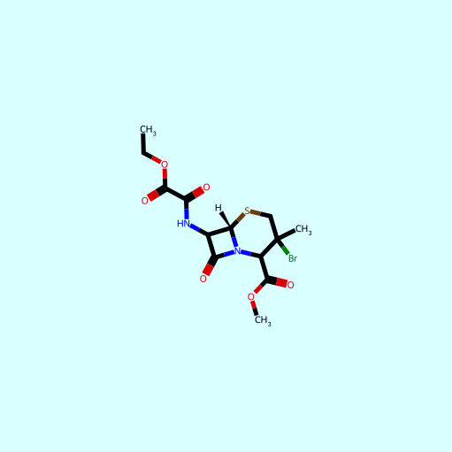 CCOC(=O)C(=O)NC1C(=O)N2C(C(=O)OC)C(C)(Br)CS[C@@H]12